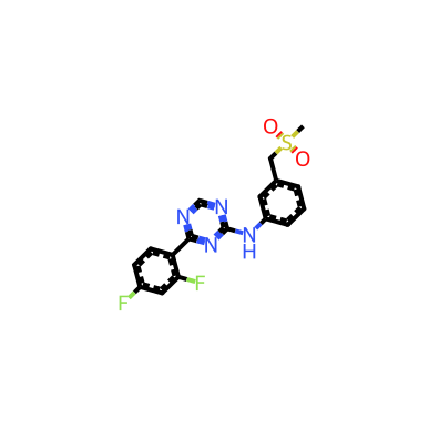 CS(=O)(=O)Cc1cccc(Nc2ncnc(-c3ccc(F)cc3F)n2)c1